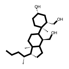 CCC[C@@H](C)[C@H]1CCC2[C@H](CO)C([C@@]3(C)CC[C@H](O)C[C@@H]3CO)CC[C@@]21C